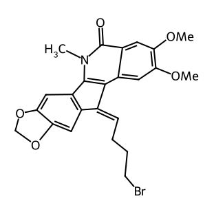 COc1cc2c3c(n(C)c(=O)c2cc1OC)-c1cc2c(cc1C3=CCCCBr)OCO2